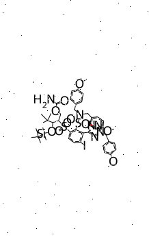 COc1ccc(CN(Cc2ccc(OC)cc2)S(=O)(=O)c2c(S(=O)(=O)C(COC(N)=O)C(O[Si](C)(C)C(C)(C)C)C(C)(C)C)ccc(I)c2-c2nnn(Cc3ccc(OC)cc3)n2)cc1